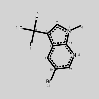 Cn1cc(C(F)(F)F)c2cc(Br)cnc21